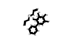 C=CCOCC=C.Cc1cc(-c2ccccc2)c(C)c(C)c1C